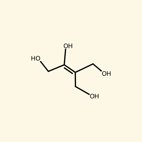 OCC(O)=C(CO)CO